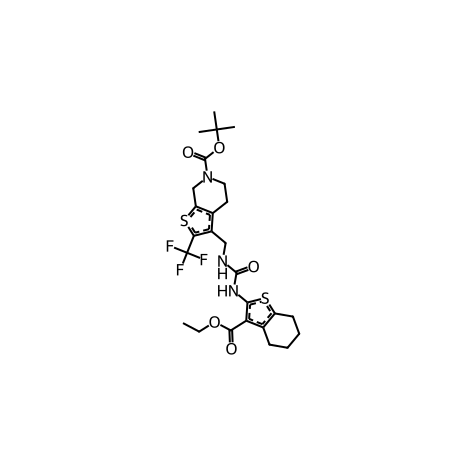 CCOC(=O)c1c(NC(=O)NCc2c(C(F)(F)F)sc3c2CCN(C(=O)OC(C)(C)C)C3)sc2c1CCCC2